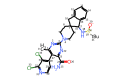 Cc1nc(N2CCC3(CC2)Cc2ccccc2[C@H]3N[S@+]([O-])C(C)(C)C)nc(C(N)=O)c1-c1ccnc(Cl)c1Cl